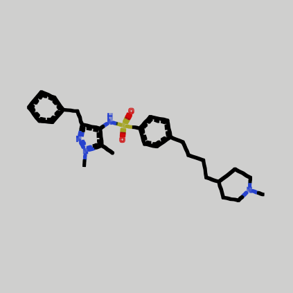 Cc1c(NS(=O)(=O)c2ccc(CCCCC3CCN(C)CC3)cc2)c(Cc2ccccc2)nn1C